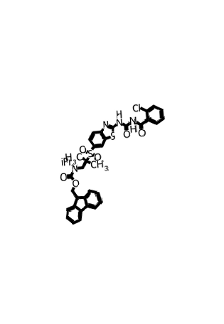 CC(C)N(CC(C)(C)S(=O)(=O)c1ccc2nc(NC(=O)NC(=O)c3ccccc3Cl)sc2c1)C(=O)OCC1c2ccccc2-c2ccccc21